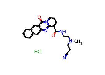 CN(CCC#N)CCNC(=O)c1cccn2c(=O)c3cc4ccccc4cc3nc12.Cl